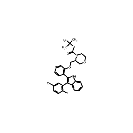 CC(C)(C)OC(=O)N1CCOCC1COc1cnccc1-c1[nH]c2cccnc2c1-c1cc(Cl)ccc1F